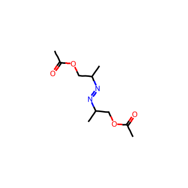 CC(=O)OCC(C)/N=N/C(C)COC(C)=O